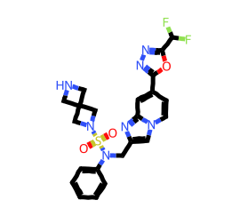 O=S(=O)(N1CC2(CNC2)C1)N(Cc1cn2ccc(-c3nnc(C(F)F)o3)cc2n1)c1ccccc1